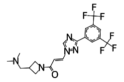 CN(C)CC1CN(C(=O)C=Cn2cnc(-c3cc(C(F)(F)F)cc(C(F)(F)F)c3)n2)C1